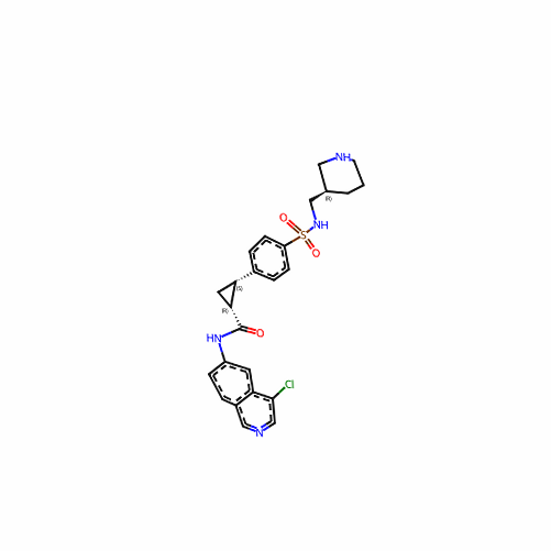 O=C(Nc1ccc2cncc(Cl)c2c1)[C@@H]1C[C@@H]1c1ccc(S(=O)(=O)NC[C@@H]2CCCNC2)cc1